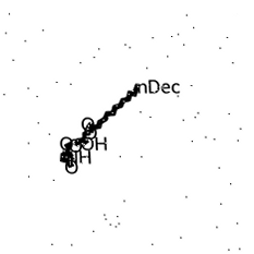 CCCCCCCCCCCCCCCCCCCCCCC(=O)OCC(O)COC(=O)[C@@H]1CCC(=O)N1